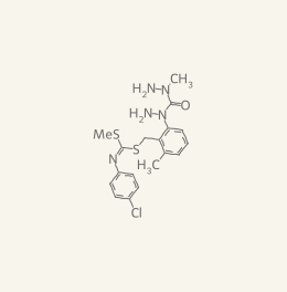 CSC(=Nc1ccc(Cl)cc1)SCc1c(C)cccc1N(N)C(=O)N(C)N